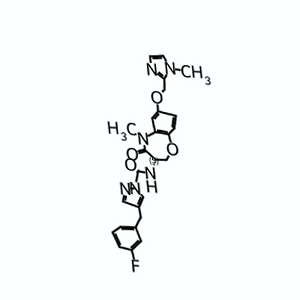 CN1C(=O)[C@@H](NC(=O)n2cc(Cc3cccc(F)c3)cn2)COc2ccc(OCc3nccn3C)cc21